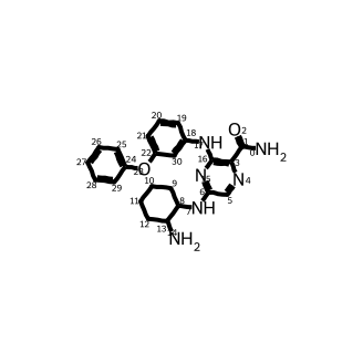 NC(=O)c1ncc(NC2CCCCC2N)nc1Nc1cccc(Oc2ccccc2)c1